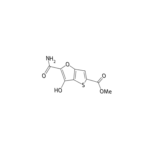 COC(=O)c1cc2oc(C(N)=O)c(O)c2s1